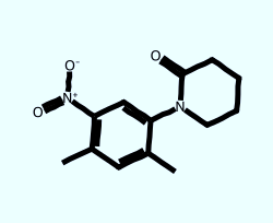 Cc1cc(C)c([N+](=O)[O-])cc1N1CCCCC1=O